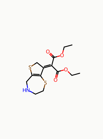 CCOC(=O)C(C(=O)OCC)=C1CSC2=C1SCCNC2